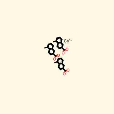 Cc1cccc2cc(C(=O)[O-])ccc12.Cc1cccc2cc(C(=O)[O-])ccc12.Cc1cccc2cc(C(=O)[O-])ccc12.[Ga+3]